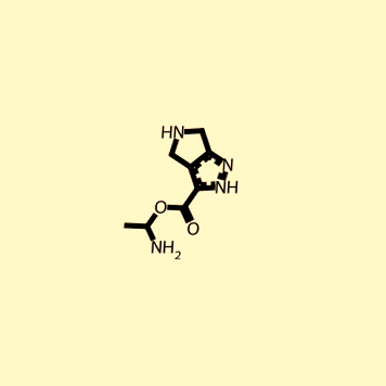 CC(N)OC(=O)c1[nH]nc2c1CNC2